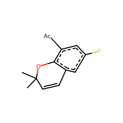 CC(=O)c1cc(F)cc2c1OC(C)(C)C=C2